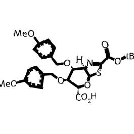 COc1ccc(CO[C@H]2[C@H](OCc3ccc(OC)cc3)[C@H]3N=C(C(=O)OC(C)(C)C)SC3O[C@@H]2C(=O)O)cc1